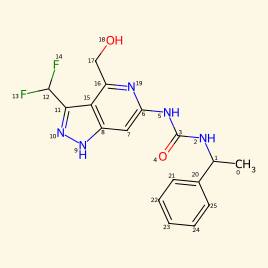 CC(NC(=O)Nc1cc2[nH]nc(C(F)F)c2c(CO)n1)c1ccccc1